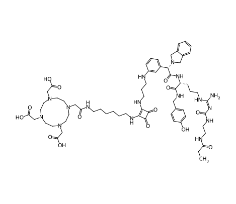 CCC(=O)NCCNC(=O)/N=C(/N)NCCC[C@@H](NC(=O)[C@H](c1cccc(NCCCNc2c(NCCCCCCNC(=O)CN3CCN(CC(=O)O)CCN(CC(=O)O)CCN(CC(=O)O)CC3)c(=O)c2=O)c1)N1Cc2ccccc2C1)C(=O)NCc1ccc(O)cc1